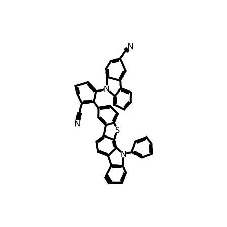 N#Cc1ccc2c(c1)c1ccccc1n2-c1cccc(C#N)c1-c1ccc2sc3c(ccc4c5c#cccc5n(-c5ccccc5)c43)c2c1